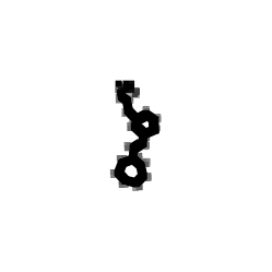 NCCCc1cccc(C=CC2CCCCCC2)c1